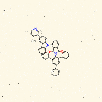 N#Cc1ccncc1-c1ccc2c(c1)c1ccccc1n2-c1cccc2c1C(=O)N(c1c(-c3ccccc3)cc(-c3ccccc3)cc1-c1ccccc1)C2=O